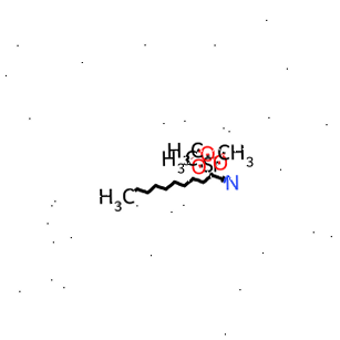 CCCCCCCCCC(C#N)[Si](OC)(OC)OC